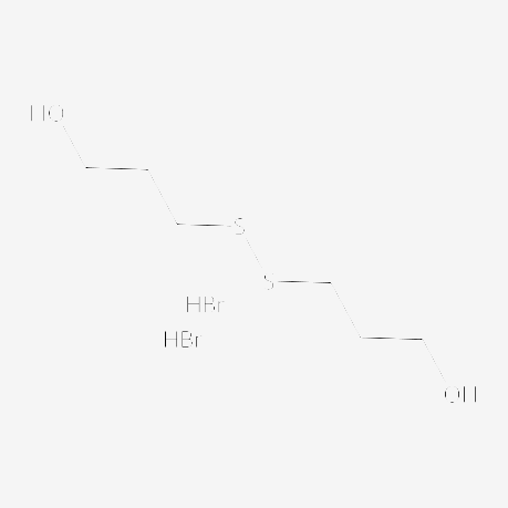 Br.Br.OCCCSSCCCO